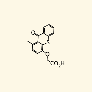 Cc1ccc(OCC(=O)O)c2sc3ccccc3c(=O)c12